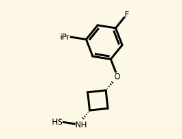 CC(C)c1cc(F)cc(O[C@H]2C[C@@H](NS)C2)c1